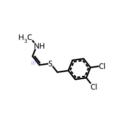 CN/C=C\SCc1ccc(Cl)c(Cl)c1